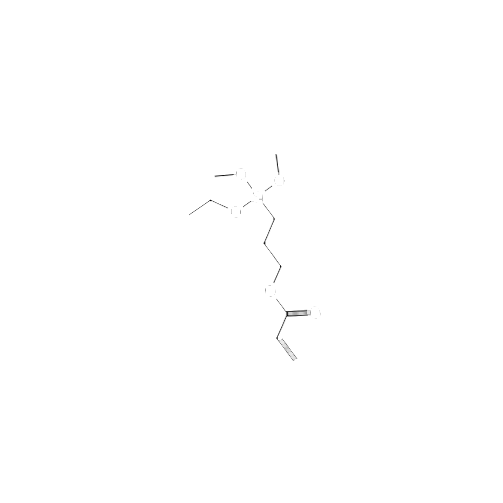 C=CC(=O)OCCC[Si](OC)(OC)OCC